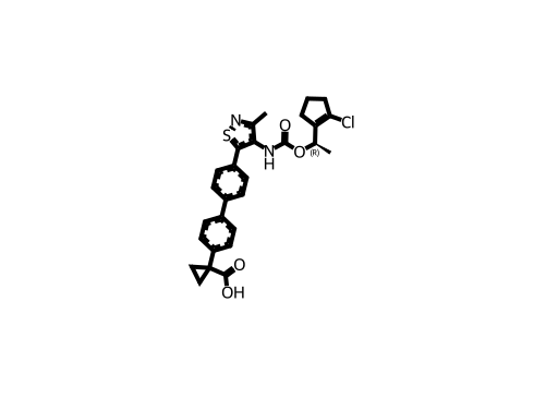 Cc1nsc(-c2ccc(-c3ccc(C4(C(=O)O)CC4)cc3)cc2)c1NC(=O)O[C@H](C)C1=C(Cl)CCC1